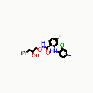 CC(C)CC(O)CONC(=O)c1ccc(F)cc1Nc1ccc(I)cc1Cl